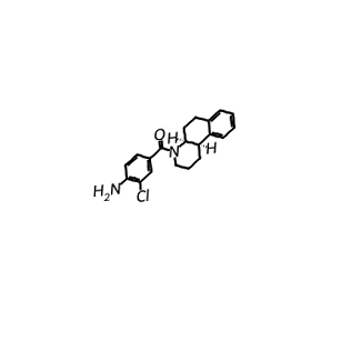 Nc1ccc(C(=O)N2CCC[C@@H]3c4ccccc4CC[C@@H]32)cc1Cl